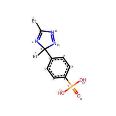 CCC1=NC(CC)(c2ccc(P(=O)(O)O)cc2)N=N1